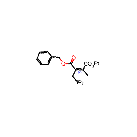 CCOC(=O)/C(C)=C(/CC(C)C)C(=O)OCc1ccccc1